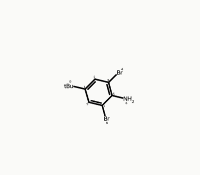 CC(C)(C)c1cc(Br)c(N)c(Br)c1